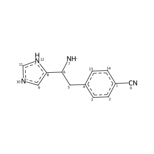 N#Cc1ccc(CC([NH])c2cnc[nH]2)cc1